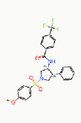 COc1ccc(S(=O)(=O)N2C[C@@H](NC(=O)c3ccc(C(F)(F)F)cc3)[C@H](c3ccccc3)C2)cc1